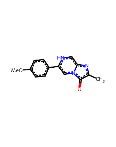 COc1ccc(-c2cn3c(=O)c(C)nc-3c[nH]2)cc1